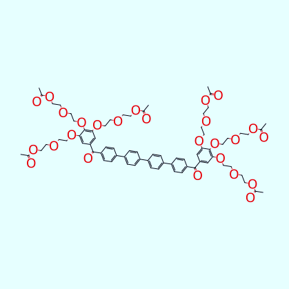 CC(=O)OCCOCCOc1cc(C(=O)c2ccc(-c3ccc(-c4ccc(-c5ccc(C(=O)c6cc(OCCOCCOC(C)=O)c(OCCOCCOC(C)=O)c(OCCOCCOC(C)=O)c6)cc5)cc4)cc3)cc2)cc(OCCOCCOC(C)=O)c1OCCOCCOC(C)=O